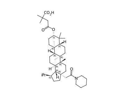 CC(C)[C@@H]1CC[C@]2(CC(=O)N3CCCCC3)CC[C@]3(C)[C@H](CC[C@@H]4[C@@]5(C)CC[C@H](OC(=O)CC(C)(C)C(=O)O)C(C)(C)[C@@H]5CC[C@]43C)[C@@H]12